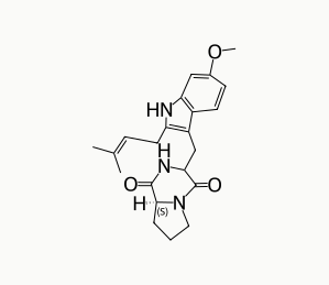 COc1ccc2c(CC3NC(=O)[C@@H]4CCCN4C3=O)c(CC=C(C)C)[nH]c2c1